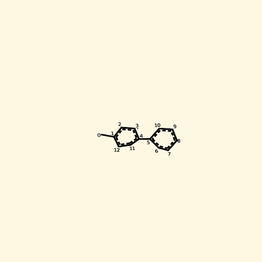 Cc1c[c]c(-c2ccccc2)cc1